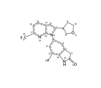 O=C1Cc2cc(-n3c(C4CCOC4)cc4ccc(C(F)(F)F)nc43)cc(F)c2N1